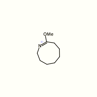 CO/C1=N/CCCCCCC1